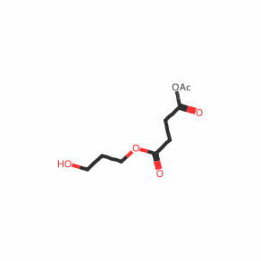 CC(=O)OC(=O)CCC(=O)OCCCO